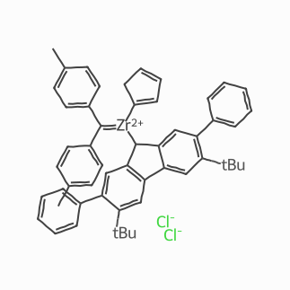 Cc1ccc([C](c2ccc(C)cc2)=[Zr+2]([C]2=CC=CC2)[CH]2c3cc(-c4ccccc4)c(C(C)(C)C)cc3-c3cc(C(C)(C)C)c(-c4ccccc4)cc32)cc1.[Cl-].[Cl-]